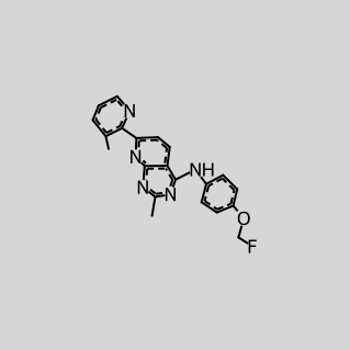 Cc1nc(Nc2ccc(OCF)cc2)c2ccc(-c3ncccc3C)nc2n1